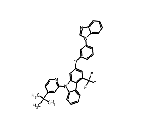 CC(C)(C)c1ccnc(-n2c3ccccc3c3c(C(F)(F)F)cc(Oc4cccc(-n5cnc6ccccc65)c4)cc32)c1